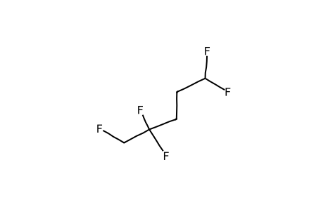 FCC(F)(F)CCC(F)F